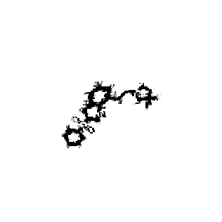 O=S(=O)(c1ccccc1)c1cnc2c(CCN3CCC(F)(F)C3)cccc2c1